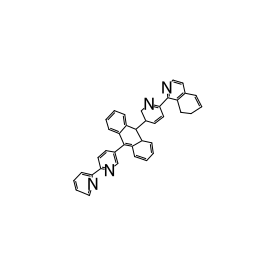 C1=CC2=C(c3ccc(-c4ccccn4)nc3)c3ccccc3C(C3C=CC(c4nccc5c4CCC=C5)=NC3)C2C=C1